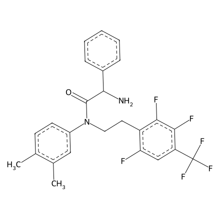 Cc1ccc(N(CCc2c(F)cc(C(F)(F)F)c(F)c2F)C(=O)C(N)c2ccccc2)cc1C